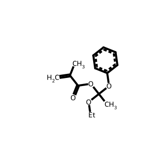 C=C(C)C(=O)OC(C)(OCC)Oc1ccccc1